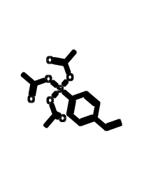 C=Cc1ccc([Si](OC(C)=O)(OC(C)=O)OC(C)=O)cc1